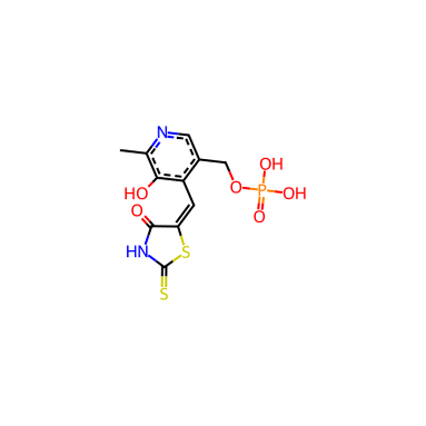 Cc1ncc(COP(=O)(O)O)c(/C=C2/SC(=S)NC2=O)c1O